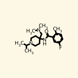 Cc1ccc(F)cc1C(=O)NC1(CN(C)C)CCN(C(C)C)CC1